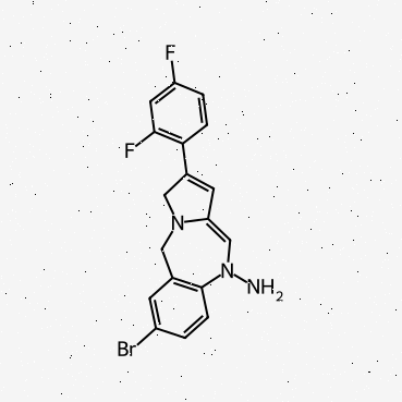 NN1C=C2C=C(c3ccc(F)cc3F)CN2Cc2cc(Br)ccc21